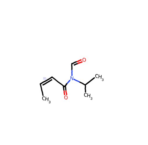 C/C=C\C(=O)N(C=O)C(C)C